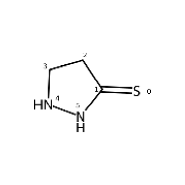 S=C1CCNN1